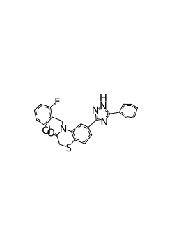 O=C1CSc2ccc(-c3n[nH]c(-c4ccccc4)n3)cc2N1Cc1c(F)cccc1Cl